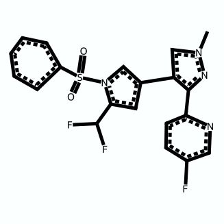 Cn1cc(-c2cc(C(F)F)n(S(=O)(=O)c3ccccc3)c2)c(-c2ccc(F)cn2)n1